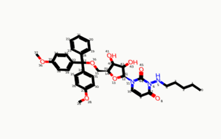 CCCCCNn1c(=O)ccn([C@H]2O[C@@H](COC(c3ccccc3)(c3ccc(OC)cc3)c3ccc(OC)cc3)C(O)C2O)c1=O